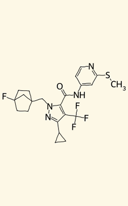 CSc1cc(NC(=O)c2c(C(F)(F)F)c(C3CC3)nn2CC23CCC(F)(CC2)C3)ccn1